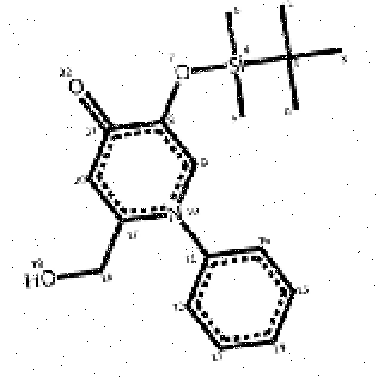 CC(C)(C)[Si](C)(C)Oc1cn(-c2ccccc2)c(CO)cc1=O